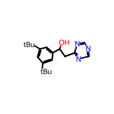 CC(C)(C)c1cc(C(O)Cc2ncncn2)cc(C(C)(C)C)c1